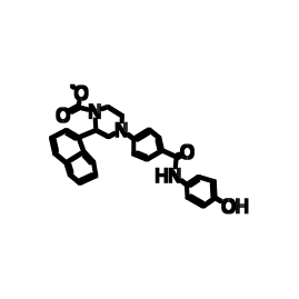 COC(=O)N1CCN(c2ccc(C(=O)Nc3ccc(O)cc3)cc2)CC1c1cccc2ccccc12